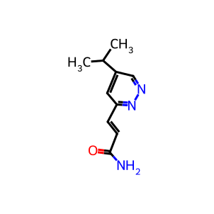 CC(C)c1cnnc(/C=C/C(N)=O)c1